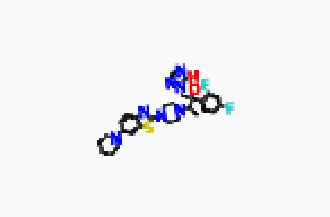 C[C@@H](N1CCN(c2nc3ccc(N4CCCCC4)cc3s2)CC1)[C@](O)(Cn1cncn1)c1ccc(F)cc1F